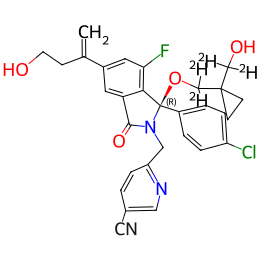 [2H]C([2H])(O)C1(C([2H])([2H])O[C@]2(c3ccc(Cl)cc3)c3c(F)cc(C(=C)CCO)cc3C(=O)N2Cc2ccc(C#N)cn2)CC1